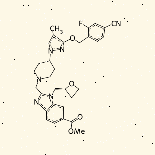 COC(=O)c1ccc2nc(CN3CCC(n4cc(C)c(OCc5ccc(C#N)cc5F)n4)CC3)n(C[C@@H]3CCO3)c2c1